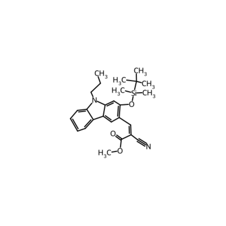 CCCn1c2ccccc2c2cc(C=C(C#N)C(=O)OC)c(O[Si](C)(C)C(C)(C)C)cc21